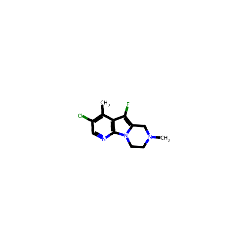 Cc1c(Cl)cnc2c1c(F)c1n2CCN(C)C1